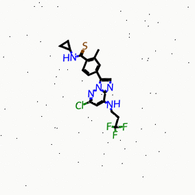 Cc1cc(-c2cnc3c(NCCC(F)(F)F)cc(Cl)nn23)ccc1C(=S)NC1CC1